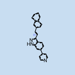 C(=C\c1n[nH]c2cc(-c3ccncc3)ccc12)/c1ccc2ccccc2c1